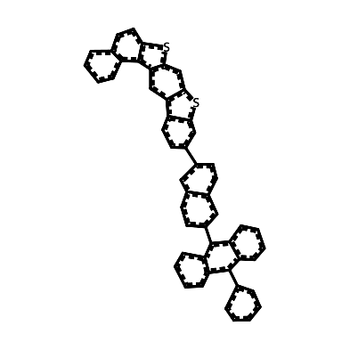 c1ccc(-c2c3ccccc3c(-c3ccc4cc(-c5ccc6c(c5)sc5cc7sc8ccc9ccccc9c8c7cc56)ccc4c3)c3ccccc23)cc1